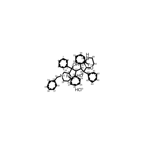 Cl.OC(c1ccccc1)(C1CN(Cc2ccccc2)CCO1)C(c1ccccc1F)C(c1ccccc1F)[C@](O)(c1ccccc1)[C@H]1CNCCO1